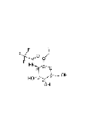 CCO[C@@H]1O[C@H](CO)[C@H](O)[C@H](O)[C@H]1NC(=O)C(F)(F)F